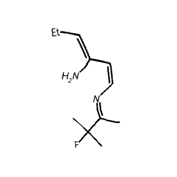 CC/C=C(N)/C=C\N=C(/C)C(C)(C)F